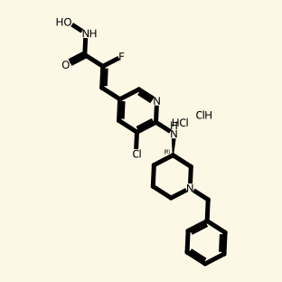 Cl.Cl.O=C(NO)C(F)=Cc1cnc(N[C@@H]2CCCN(Cc3ccccc3)C2)c(Cl)c1